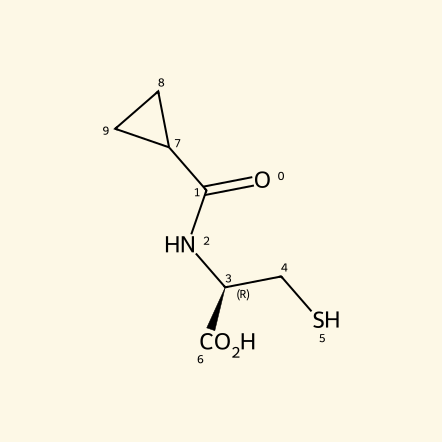 O=C(N[C@@H](CS)C(=O)O)C1CC1